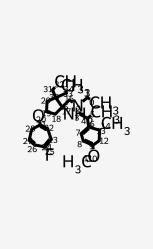 CCN(CC(C)C1=CC=C(OC)C[C@H]1C)C[C@]1(N)C[C@H](OC2=CC=C(F)C=CC2)CC1(CC)CC